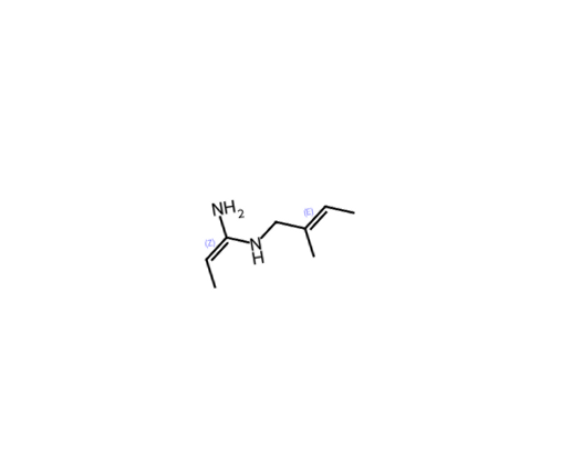 C/C=C(/N)NC/C(C)=C/C